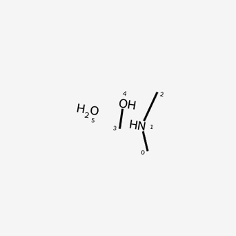 CNC.CO.O